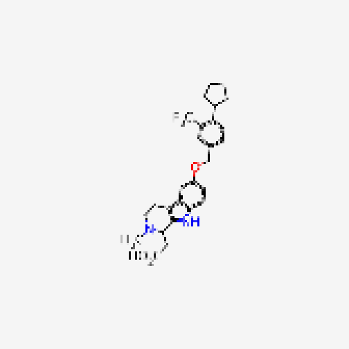 CN1CCc2c([nH]c3ccc(OCc4ccc(C5CCCC5)c(C(F)(F)F)c4)cc23)C1CC(=O)O